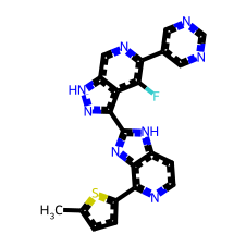 Cc1ccc(-c2nccc3[nH]c(-c4n[nH]c5cnc(-c6cncnc6)c(F)c45)nc23)s1